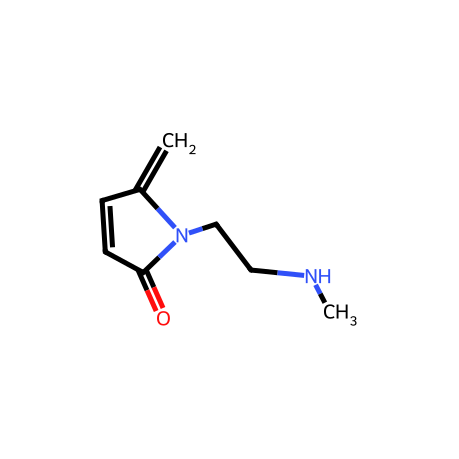 C=C1C=CC(=O)N1CCNC